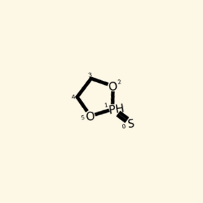 S=[PH]1OCCO1